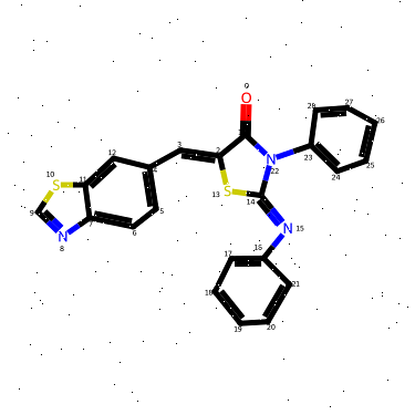 O=C1C(=Cc2ccc3ncsc3c2)SC(=Nc2ccccc2)N1c1ccccc1